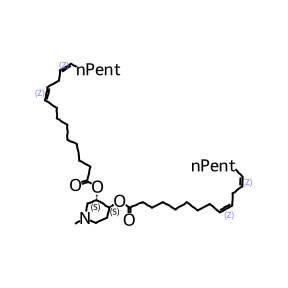 CCCCC/C=C\C/C=C\CCCCCCCC(=O)O[C@H]1CCN(C)C[C@@H]1OC(=O)CCCCCCC/C=C\C/C=C\CCCCC